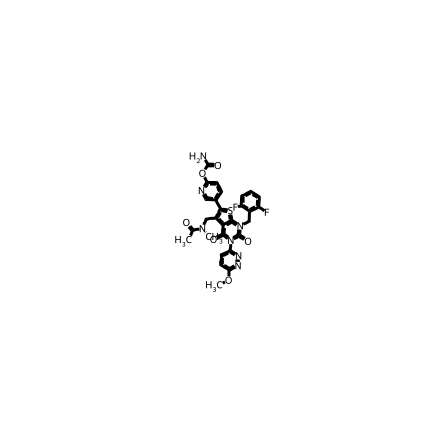 COc1ccc(-n2c(=O)c3c(CN(C)C(C)=O)c(-c4ccc(OC(N)=O)nc4)sc3n(Cc3c(F)cccc3F)c2=O)nn1